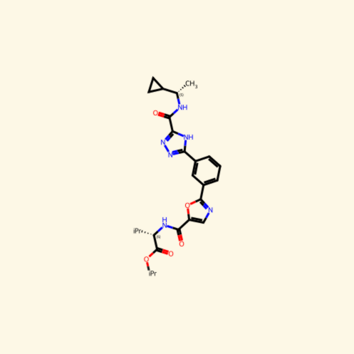 CC(C)OC(=O)[C@@H](NC(=O)c1cnc(-c2cccc(-c3nnc(C(=O)N[C@@H](C)C4CC4)[nH]3)c2)o1)C(C)C